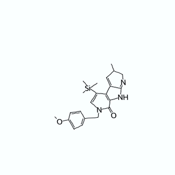 COc1ccc(Cn2cc([Si](C)(C)C)c3c4c([nH]c3c2=O)=NCC(C)C=4)cc1